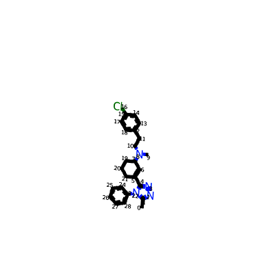 Cc1nnc(C2=CC(N(C)CCc3ccc(Cl)cc3)CCC2)n1-c1ccccc1